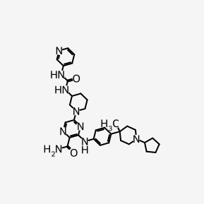 CC1(c2ccc(Nc3nc(N4CCCC(NC(=O)Nc5cccnc5)C4)cnc3C(N)=O)cc2)CCN(C2CCCC2)CC1